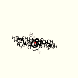 C=c1c2ccc3c1=C(CCC(C)C/C(C(=O)NCC(C)(C)CCC(C)(C)CC(=O)O)=C\C(N1CCCC1)=C\2CC)C(=O)N(C(C)(C)CCC(C)(C)CC(=O)O)C3=O